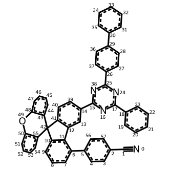 N#Cc1ccc(-c2cccc3c2-c2cc(-c4nc(-c5ccccc5)nc(-c5ccc(-c6ccccc6)cc5)n4)ccc2C32c3ccccc3Oc3ccccc32)cc1